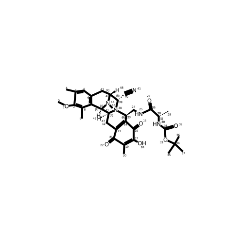 COc1c(C)cc2c(c1C)[C@@H]1[C@@H]3CC4=C(C(=O)C(O)=C(C)C4=O)[C@H](CNC(=O)[C@H](C)NC(=O)OC(C)(C)C)N3[C@@H](C#N)[C@@H](C2)N1C